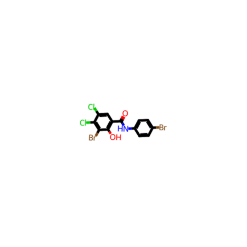 O=C(Nc1ccc(Br)cc1)c1cc(Cl)c(Cl)c(Br)c1O